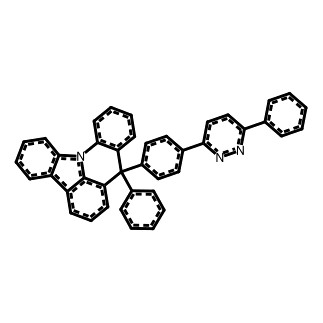 c1ccc(-c2ccc(-c3ccc(C4(c5ccccc5)c5ccccc5-n5c6ccccc6c6cccc4c65)cc3)nn2)cc1